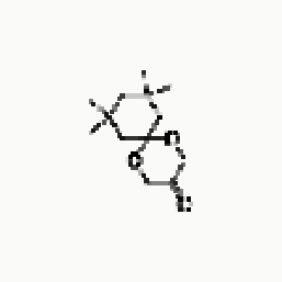 CC1(C)CC(C)(C)CC2(C1)OCC(=O)CO2